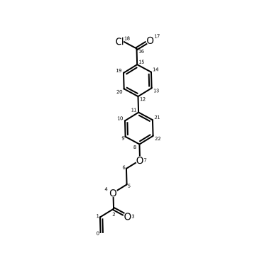 C=CC(=O)OCCOc1ccc(-c2ccc(C(=O)Cl)cc2)cc1